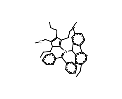 CCCC1=C(CCC)C(CCC)[C]([Zr](=[C](c2ccccc2)c2ccccc2)[CH]2c3cc(CC)ccc3-c3ccc(CC)cc32)=C1CCC